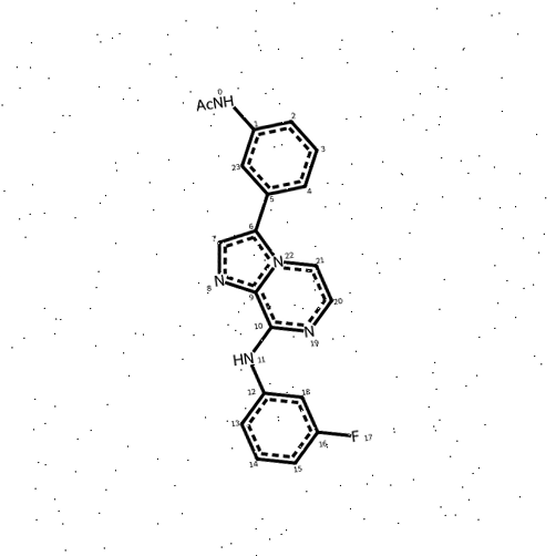 CC(=O)Nc1cccc(-c2cnc3c(Nc4cccc(F)c4)nccn23)c1